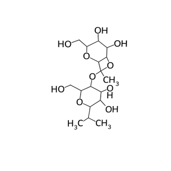 CC(C)C1OC(CO)C(OC2(C)OC3C(O)C(O)C(CO)OC32)C(O)C1O